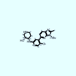 Cc1nc2ccc(-c3cc(N[C@@H]4CCNC[C@H]4O)ncc3Cl)nc2n1C(C)(C)C